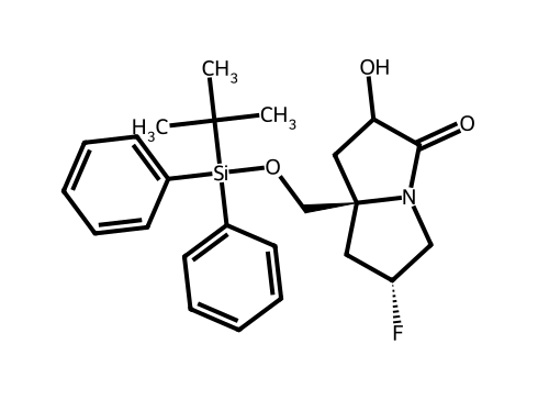 CC(C)(C)[Si](OC[C@@]12CC(O)C(=O)N1C[C@H](F)C2)(c1ccccc1)c1ccccc1